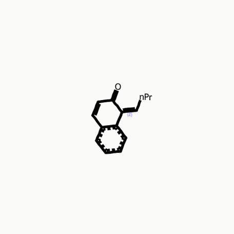 CCC/C=C1\C(=O)C=Cc2ccccc21